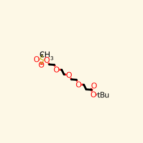 CC(C)(C)OC(=O)CCOCCOCCOCCOS(C)(=O)=O